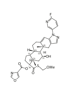 COCSC(=O)[C@@]1(OC(=O)c2cocn2)CC[C@H]2[C@@H]3CCC4=Cc5c(cnn5-c5ccc(F)nc5)C[C@]4(C)[C@H]3[C@@H](O)C[C@@]21C